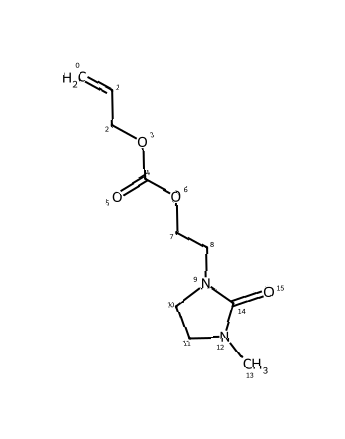 C=CCOC(=O)OCCN1CCN(C)C1=O